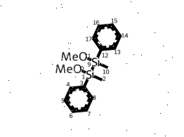 CO[Si](C)(c1ccccc1)[Si](C)(OC)c1ccccc1